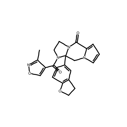 Cc1nocc1C(=O)N1CCN2C(=O)c3cccn3CC12c1ccc2c(c1)CCO2